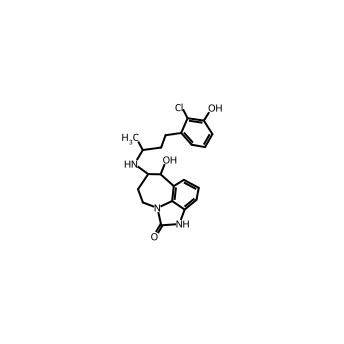 CC(CCc1cccc(O)c1Cl)NC1CCn2c(=O)[nH]c3cccc(c32)C1O